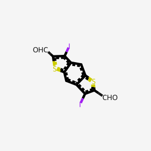 O=Cc1sc2cc3c(I)c(C=O)sc3cc2c1I